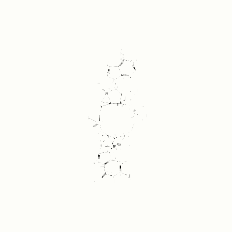 CO[C@H]1[C@H]2OP(=O)(I)OCC34C[C@@H]3[C@@H](n3cnc5c(N)ncnc53)[C@H](O)[C@@H]4OP(=O)(O)OC[C@H]1O[C@H]2n1cnc2c(=O)[nH]c(N)nc21